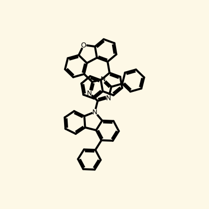 c1ccc(-c2nc(-c3cccc4oc5cccc(-c6cccc7ccccc67)c5c34)nc(-n3c4ccccc4c4c(-c5ccccc5)cccc43)n2)cc1